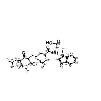 COC(=O)C(CCCC(SC(C)=O)C(=O)N[C@@H](Cc1c[nH]c2ccccc12)C(=O)O)C(=O)[C@@H](N)CC(C)C